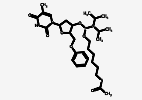 CC(=O)SCCCCCCOP(OC1CC(n2cc(C)c(=O)[nH]c2=O)OC1COc1ccccc1)N(C(C)C)C(C)C